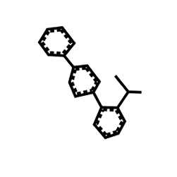 CC(C)c1ccccc1-c1ccc(-c2ccccc2)cc1